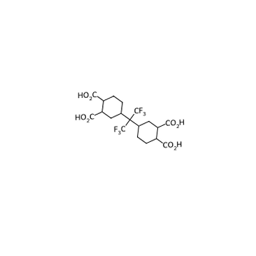 O=C(O)C1CCC(C(C2CCC(C(=O)O)C(C(=O)O)C2)(C(F)(F)F)C(F)(F)F)CC1C(=O)O